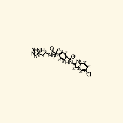 CC(C)(C(=O)NCCc1nnn[nH]1)c1ccc(C(=O)Nc2cn3cc(Cl)ccc3n2)cc1